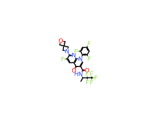 CC(NC(=O)c1cn(-c2c(F)cc(F)cc2F)c2nc(N3CC4(COC4)C3)c(F)cc2c1=O)C(F)(F)C(F)(F)F